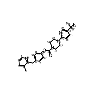 Cc1cccnc1Cc1ccc(OC(=O)N2CCN(c3ccc(C(F)(F)F)cn3)CC2)cc1